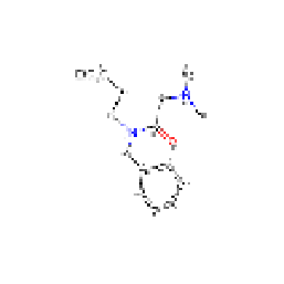 CCOC(=O)CCN(Cc1ccccc1)C(=O)CN(C)C(C)=O